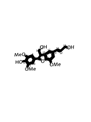 COc1cc(C2Oc3c(OC)cc(/C=C/CO)cc3C2CO)cc(OC)c1O